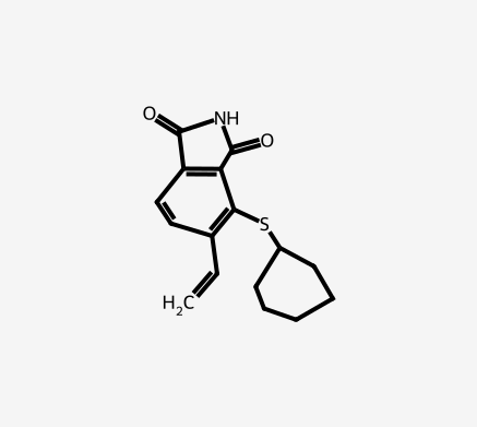 C=Cc1ccc2c(c1SC1CCCCC1)C(=O)NC2=O